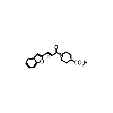 O=C(O)C1CCN(C(=O)/C=C/c2cc3ccccc3o2)CC1